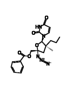 CCC[C@@]1(C)C[C@](COC(=O)c2ccccc2)(N=[N+]=[N-])O[C@H]1n1ccc(=O)[nH]c1=O